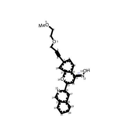 COCCOCC#Cc1ccc2/c(=N\O)cc(-c3cc4ccccc4cn3)oc2c1